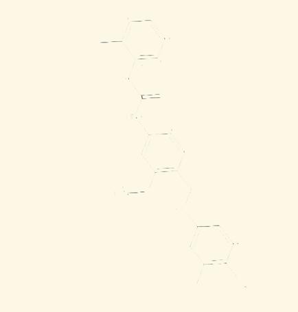 Cc1cc(OCc2ccc(NC(=O)Cc3ccccc3Cl)cc2SN)ccc1F